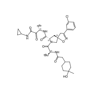 CCC[C@H](NC(=O)[C@@H]1C[C@]2(CC(c3cccc(Cl)c3)=NO2)CN1C(=O)[C@@H](NC(=O)CC1CCC(C)(O)CC1)C(C)(C)C)C(=O)C(=O)NC1CC1